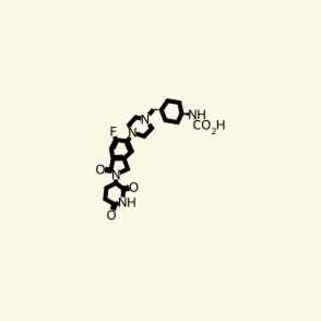 O=C1CCC(N2Cc3cc(N4CCN(C[C@H]5CC[C@H](NC(=O)O)CC5)CC4)c(F)cc3C2=O)C(=O)N1